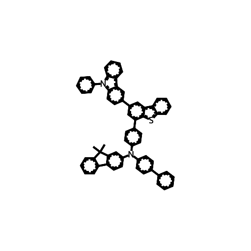 CC1(C)c2ccccc2-c2ccc(N(c3ccc(-c4ccccc4)cc3)c3ccc(-c4cc(-c5ccc6c(c5)c5ccccc5n6-c5ccccc5)cc5c4sc4ccccc45)cc3)cc21